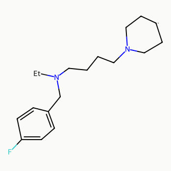 CCN(CCCCN1CC[CH]CC1)Cc1ccc(F)cc1